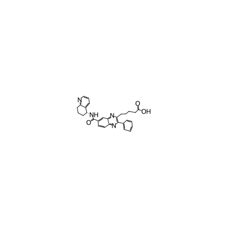 O=C(O)CCCCc1nc2cc(C(=O)N[C@@H]3CCCc4ncccc43)ccc2nc1-c1ccccc1